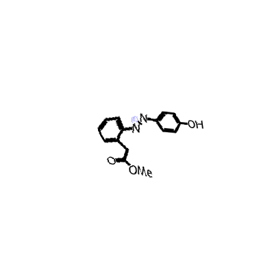 COC(=O)Cc1ccccc1/N=N/c1ccc(O)cc1